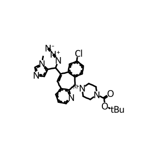 Cn1cncc1C(N=[N+]=[N-])C1=Cc2cccnc2[C@@H](N2CCN(C(=O)OC(C)(C)C)CC2)c2ccc(Cl)cc21